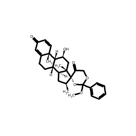 COC1(c2ccccc2)OCC(=O)[C@@]2(O1)[C@@H](C)C[C@H]1[C@@H]3CCC4=CC(=O)C=C[C@]4(C)[C@@H]3[C@@H](O)C[C@@]12C